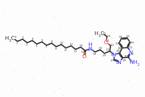 CCCCCCCCCCCCCCCC(=O)NCCCC(COCC)n1cnc2c(N)nc3ccccc3c21